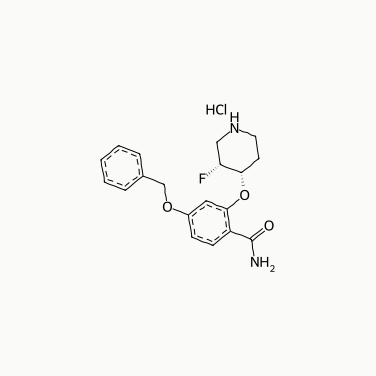 Cl.NC(=O)c1ccc(OCc2ccccc2)cc1O[C@H]1CCNC[C@H]1F